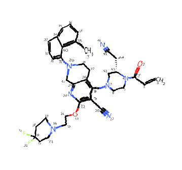 C=CC(=O)N1CCN(c2c(C#N)c(OCCN3CCC(F)(F)CC3)nc3c2CCN(c2cccc4cccc(C)c24)C3)C[C@@H]1CC#N